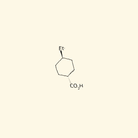 C[CH][C@H]1CC[C@H](C(=O)O)CC1